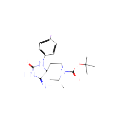 C[C@H]1C[C@]2(CCN1C(=O)OC(C)(C)C)C(=N)NC(=O)N2c1ccc(I)cc1